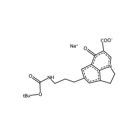 CC(C)(C)OC(=O)NCCCc1cc2c3c(c1)c(=O)c(C(=O)[O-])cn3CC2.[Na+]